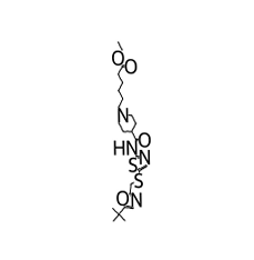 CCOC(=O)CCCCCN1CCC(C(=O)Nc2ncc(SCc3ncc(C(C)(C)C)o3)s2)CC1